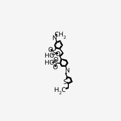 C=Cc1ccc(C=Nc2ccc(/C=C/c3ccc(N=C)cc3S(=O)(=O)O)c(S(=O)(=O)O)c2)s1